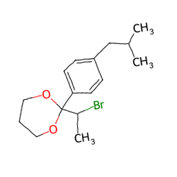 CC(C)Cc1ccc(C2(C(C)Br)OCCCO2)cc1